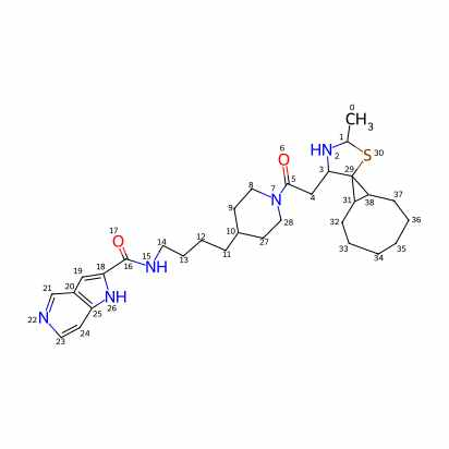 CC1NC(CC(=O)N2CCC(CCCCNC(=O)c3cc4cnccc4[nH]3)CC2)C2(S1)C1CCCCCCC12